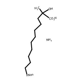 CCCCCCCCCCCCCCCCCCC(C)(O)C(=O)O.N